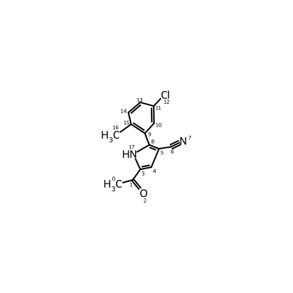 CC(=O)c1cc(C#N)c(-c2cc(Cl)ccc2C)[nH]1